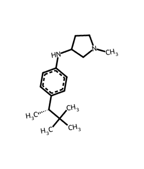 C[C@H](c1ccc(NC2CCN(C)C2)cc1)C(C)(C)C